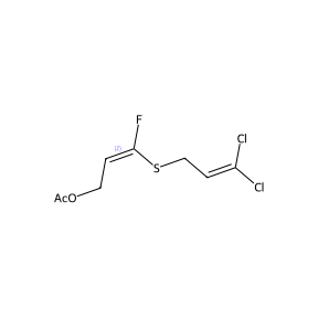 CC(=O)OC/C=C(/F)SCC=C(Cl)Cl